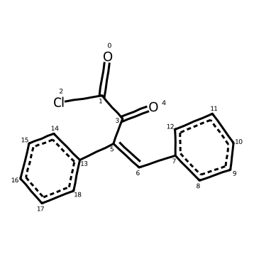 O=C(Cl)C(=O)C(=Cc1ccccc1)c1ccccc1